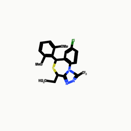 COc1cccc(OC)c1C1SC(CC(=O)O)c2nnc(C(F)(F)F)n2-c2ccc(Cl)cc21